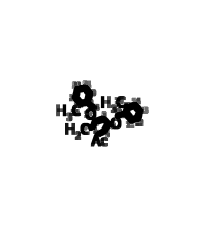 C=C/C(=C\C(=C/CC(C)=O)OCc1ccccc1C)OCc1ccccc1C